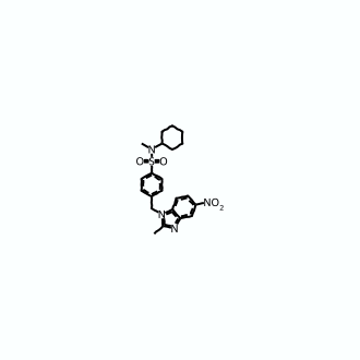 Cc1nc2cc([N+](=O)[O-])ccc2n1Cc1ccc(S(=O)(=O)N(C)C2CCCCC2)cc1